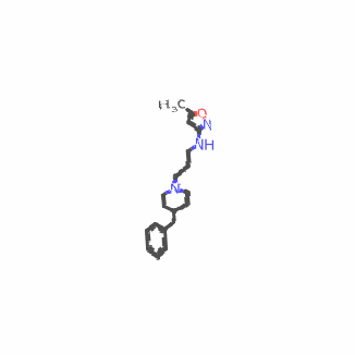 Cc1cc(NCCCN2CCC(Cc3ccccc3)CC2)no1